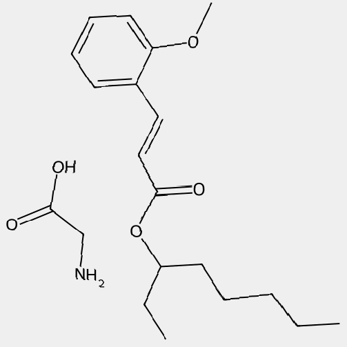 CCCCCC(CC)OC(=O)/C=C/c1ccccc1OC.NCC(=O)O